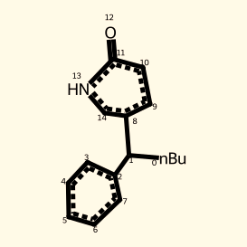 CCCCC(c1ccccc1)c1ccc(=O)[nH]c1